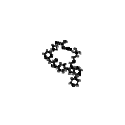 CC(C)(C)OC(=O)NC1CN(c2ccnc(CC(=O)Nc3ccc(-c4cc5c(N6CCOCC6)ncnc5n4COCC[Si](C)(C)C)cc3)n2)C1